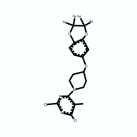 [2H]C1([2H])Oc2ccc(OC3CCN(c4nc(Cl)nc(Cl)c4C)CC3)cc2OC1([2H])[2H]